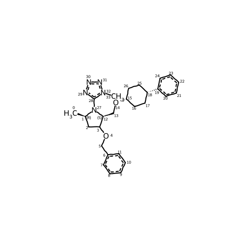 C[C@@H]1CC(OCc2ccccc2)[C@H](CO[C@H]2CC[C@@H](c3ccccc3)CC2)N1c1nnnn1C